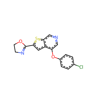 Clc1ccc(Oc2cncc3sc(C4=NCCO4)cc23)cc1